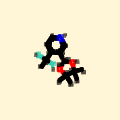 CC(F)(F)c1ccncc1B1OC(C)(C)C(C)(C)O1